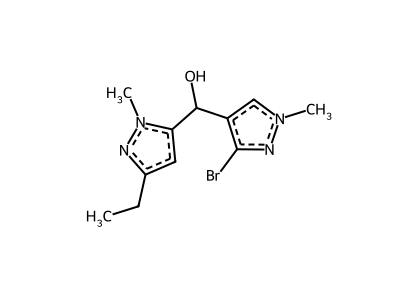 CCc1cc(C(O)c2cn(C)nc2Br)n(C)n1